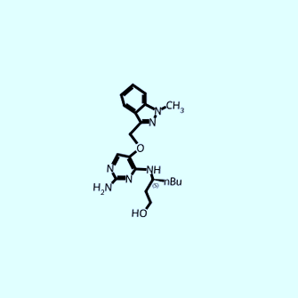 CCCC[C@@H](CCO)Nc1nc(N)ncc1OCc1nn(C)c2ccccc12